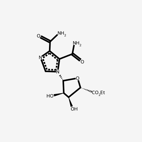 CCOC(=O)[C@H]1O[C@@H](n2cnc(C(N)=O)c2C(N)=O)[C@H](O)[C@@H]1O